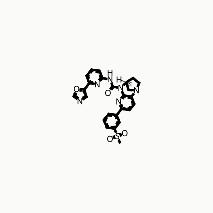 CS(=O)(=O)c1cccc(-c2ccc3c(n2)N(C(=O)Nc2cccc(-c4cnco4)n2)[C@H]2CCN3C2)c1